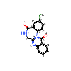 O=C1NCc2nc3ccccc3c(=O)n2-c2ccc(Cl)cc21